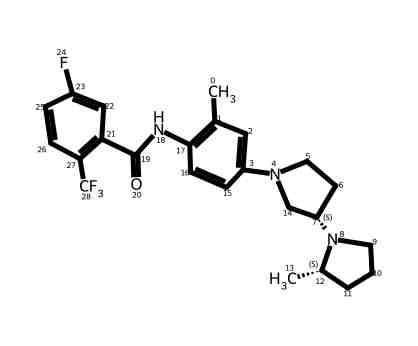 Cc1cc(N2CC[C@H](N3CCC[C@@H]3C)C2)ccc1NC(=O)c1cc(F)ccc1C(F)(F)F